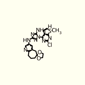 C[SH]1C=Cc2c(-n3nc(Nc4cnc5c(c4)CC4(CCC5)OCCO4)nc3N)nc(Cl)nc21